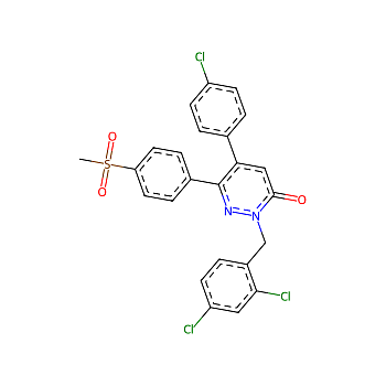 CS(=O)(=O)c1ccc(-c2nn(Cc3ccc(Cl)cc3Cl)c(=O)cc2-c2ccc(Cl)cc2)cc1